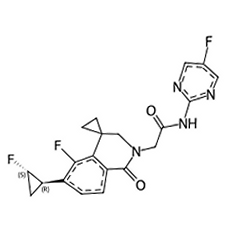 O=C(CN1CC2(CC2)c2c(ccc([C@H]3C[C@@H]3F)c2F)C1=O)Nc1ncc(F)cn1